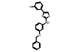 Fc1cccc(-c2csc(Nc3cccc(OCc4ccccc4)c3)n2)c1